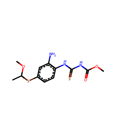 COC(=O)NC(=S)Nc1ccc(SC(C)OC)cc1N